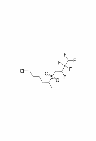 C=CC(CCCCCl)S(=O)(=O)CC(F)C(F)(F)C(F)F